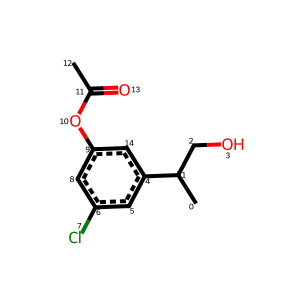 C[C](CO)c1cc(Cl)cc(OC(C)=O)c1